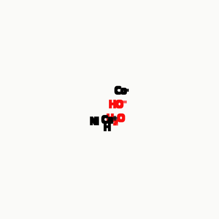 O.[CaH+].[Co].[Ni].[OH-]